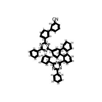 N#Cc1cccc(-c2cccc(-c3nc(-c4ccccc4)nc(-c4ccc(-c5ccccc5-c5nc(-c6ccccc6)nc(-c6ccccc6)n5)c(-c5ccccc5)c4)n3)c2)c1